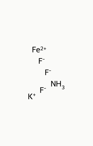 N.[F-].[F-].[F-].[Fe+2].[K+]